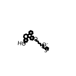 [O-][S+](CCCCCOc1ccc(C2=C(c3ccccc3)CCCc3cc(O)ccc32)cc1)Cc1cccs1